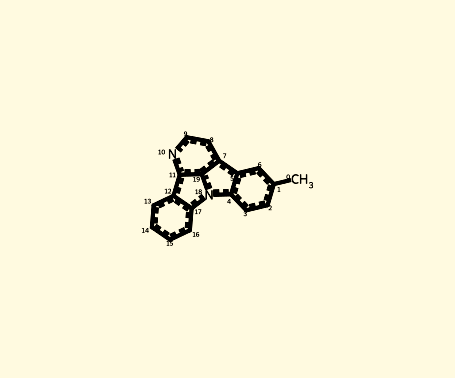 Cc1ccc2c(c1)c1ccnc3c4ccccc4n2c13